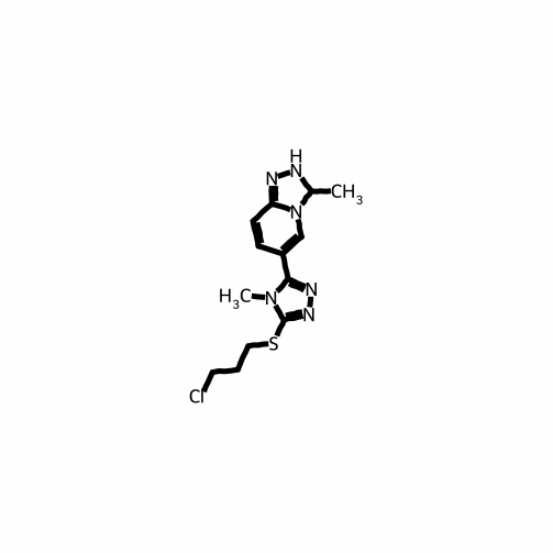 CC1NN=C2C=CC(c3nnc(SCCCCl)n3C)=CN21